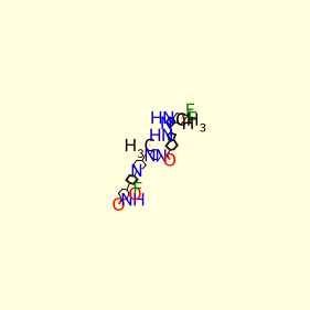 C[C@@H]1CN(C(=O)c2ccc3cc(-c4n[nH]c5c4C[C@@H]4C(F)(F)[C@]4(C)C5)[nH]c3c2)CCN1CC1CCN(c2ccc(C3CCC(=O)NC3=O)c(F)c2)CC1